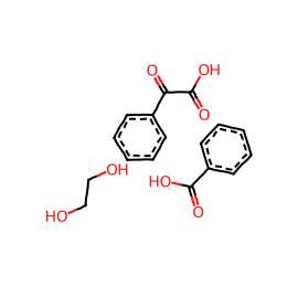 O=C(O)C(=O)c1ccccc1.O=C(O)c1ccccc1.OCCO